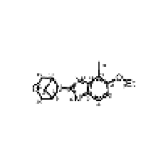 CCOc1ccc2nc(N3C4COCC3C4)sc2c1I